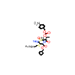 CC(=O)NCCSC1=C(C(=O)OCc2ccccc2)N2C(=O)[C@H](C(C)OC(=O)OCc3ccc([N+](=O)[O-])cc3)[C@H]2[S+]([O-])C1=[N+]=[N-]